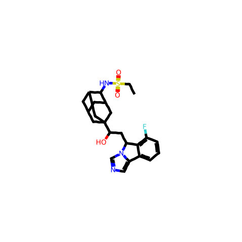 CCS(=O)(=O)NC1C2CC3CC1CC(C(O)CC1c4c(F)cccc4-c4cncn41)(C3)C2